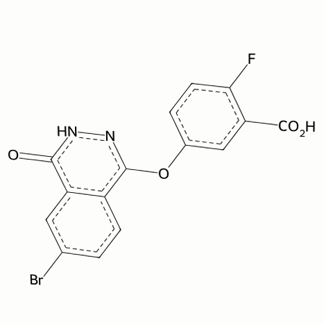 O=C(O)c1cc(Oc2n[nH]c(=O)c3cc(Br)ccc23)ccc1F